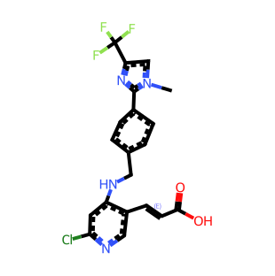 Cn1cc(C(F)(F)F)nc1-c1ccc(CNc2cc(Cl)ncc2/C=C/C(=O)O)cc1